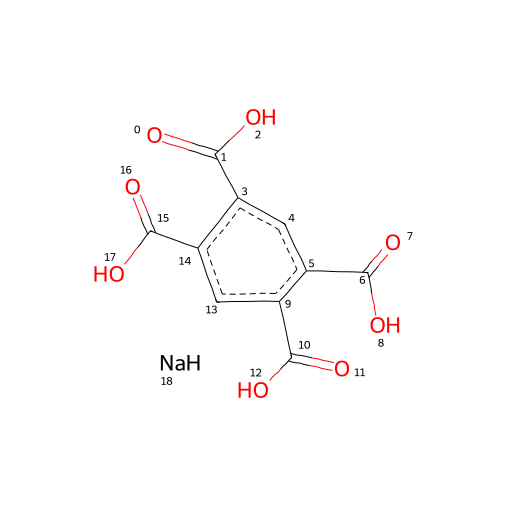 O=C(O)c1cc(C(=O)O)c(C(=O)O)cc1C(=O)O.[NaH]